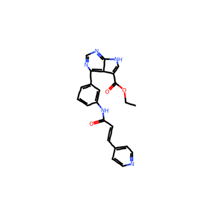 CCOC(=O)c1c[nH]c2ncnc(-c3cccc(NC(=O)C=Cc4ccncc4)c3)c12